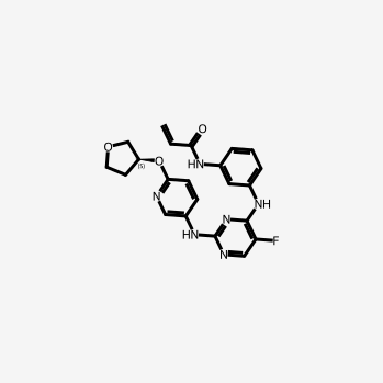 C=CC(=O)Nc1cccc(Nc2nc(Nc3ccc(O[C@H]4CCOC4)nc3)ncc2F)c1